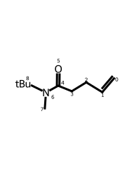 C=CCCC(=O)N(C)C(C)(C)C